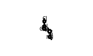 Cc1cncc(Oc2ccc(Cn3c(C)cc(=O)n4cc(-c5ccc(Cl)cc5)nc34)cc2)n1